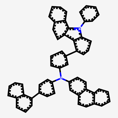 c1ccc(-n2c3cccc(-c4cccc(N(c5ccc(-c6cccc7ccccc67)cc5)c5ccc6c(ccc7ccccc76)c5)c4)c3c3ccc4ccccc4c32)cc1